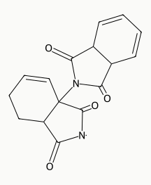 O=C1[N]C(=O)C2(N3C(=O)C4C=CC=CC4C3=O)C=CCCC12